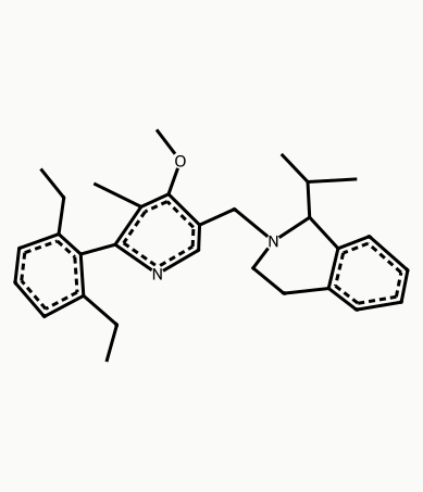 CCc1cccc(CC)c1-c1ncc(CN2CCc3ccccc3C2C(C)C)c(OC)c1C